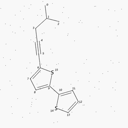 CC(C)CC#Cc1ccc(-c2cccs2)s1